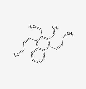 C=C/C=C\c1c(C=C)c(C=C)c(/C=C\C=C)c2ccccc12